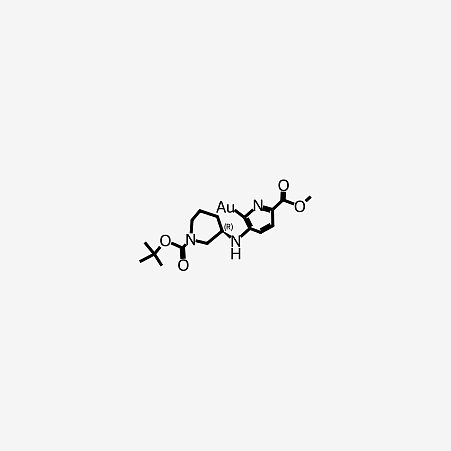 COC(=O)c1ccc(N[C@@H]2CCCN(C(=O)OC(C)(C)C)C2)[c]([Au])n1